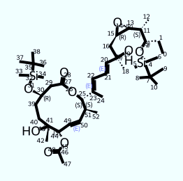 CC[C@H](O[Si](C)(C)C(C)(C)C)[C@@H](C)[C@H]1O[C@@H]1C[C@@](C)(O)/C=C/C=C(\C)[C@H]1OC(=O)C[C@H](O[Si](C)(C)C(C)(C)C)CC[C@@](C)(O)[C@@H](OC(C)=O)/C=C/[C@@H]1C